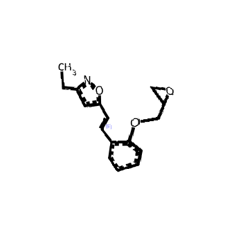 CCc1cc(/C=C/c2ccccc2OCC2CO2)on1